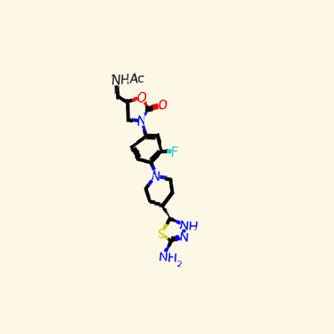 CC(=O)NCC1CN(c2ccc(N3CCC([C@H]4NN=C(N)S4)CC3)c(F)c2)C(=O)O1